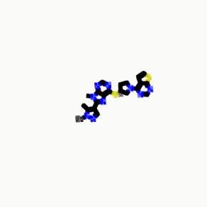 CCn1ncc(-c2nc3c(S[C@H]4CCN(c5ncnc6sccc56)C4)ncnc3n2C)c1C